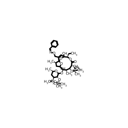 CC[C@H]1OC(=O)[C@H](C)[C@@H](O[Si](C)(C)C)[C@H](C)[C@@H](OC2O[C@H](C)C[C@H](N(C)C)[C@H]2O[Si](C)(C)C)[C@@]2(C)C[C@@H](C)C3(OC1(C)C=C3CO/N=C\c1ccccc1)O2